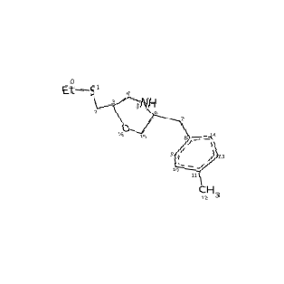 CCSCC1CNC(Cc2ccc(C)cc2)CO1